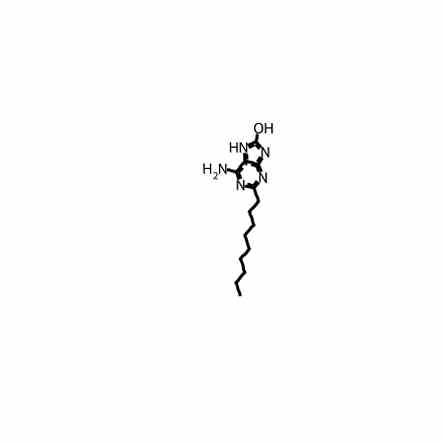 CCCCCCCCCc1nc(N)c2[nH]c(O)nc2n1